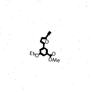 C#Cc1ccc(-c2cc(OCC)cc(C(=O)OC)c2)o1